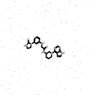 O=C(CNc1cccc(N2CCNC2=O)c1)NC1CCCN(c2ncnc3[nH]ccc23)C1